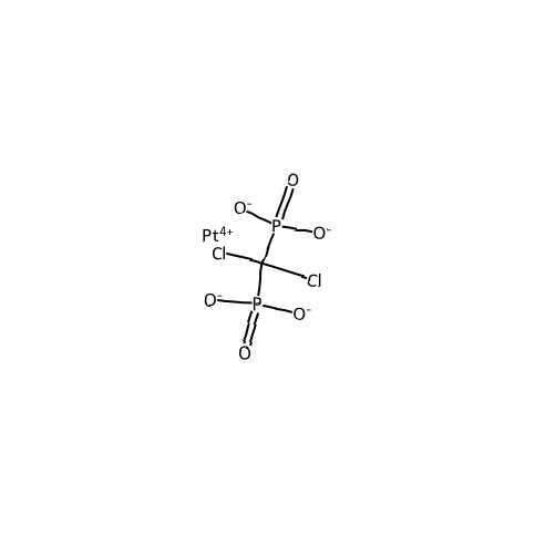 O=P([O-])([O-])C(Cl)(Cl)P(=O)([O-])[O-].[Pt+4]